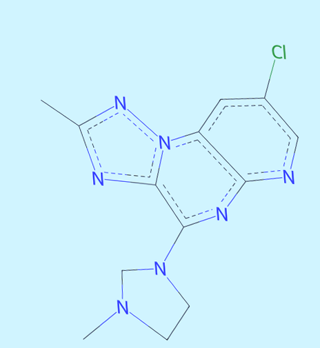 Cc1nc2c(N3CCN(C)C3)nc3ncc(Cl)cc3n2n1